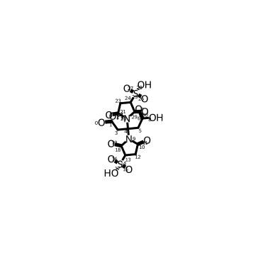 O=C(O)CC(CC(=O)O)(N1C(=O)CC(S(=O)(=O)O)C1=O)N1C(=O)CC(S(=O)(=O)O)C1=O